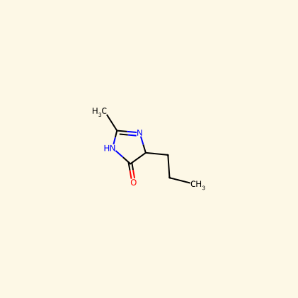 CCCC1N=C(C)NC1=O